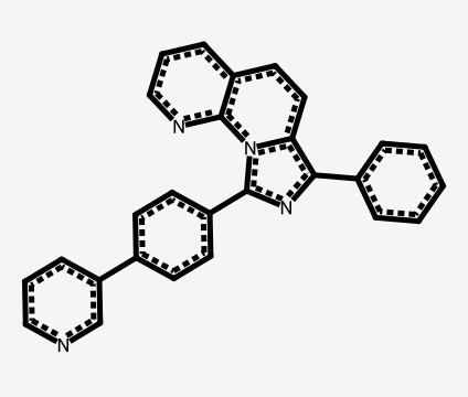 c1ccc(-c2nc(-c3ccc(-c4cccnc4)cc3)n3c2ccc2cccnc23)cc1